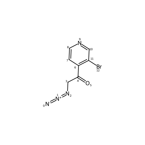 [N-]=[N+]=NCC(=O)c1ccncc1Br